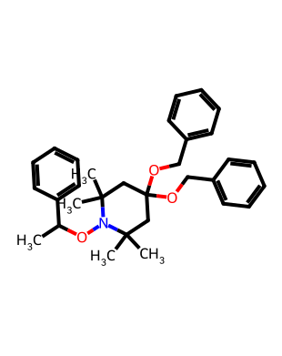 CC(ON1C(C)(C)CC(OCc2ccccc2)(OCc2ccccc2)CC1(C)C)c1ccccc1